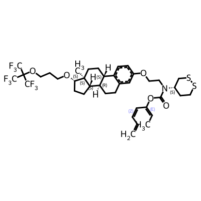 C=C/C=C\C(=C/C)OC(=O)N(CCOc1ccc2c(c1)CC[C@@H]1[C@@H]2CC[C@]2(C)[C@@H](OCCCOC(C(F)(F)F)(C(F)(F)F)C(F)(F)F)CC[C@@H]12)[C@H]1CCSSC1